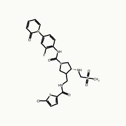 CS(=O)(=O)CN[C@H]1CN(C(=O)Nc2ccc(-n3ccccc3=O)cc2F)CC1CNC(=O)c1ccc(Cl)s1